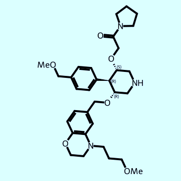 COCCCN1CCOc2ccc(CO[C@H]3CNC[C@@H](OCC(=O)N4CCCC4)[C@@H]3c3ccc(COC)cc3)cc21